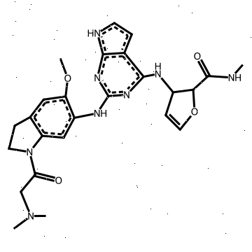 CNC(=O)C1OC=CC1Nc1nc(Nc2cc3c(cc2OC)CCN3C(=O)CN(C)C)nc2[nH]ccc12